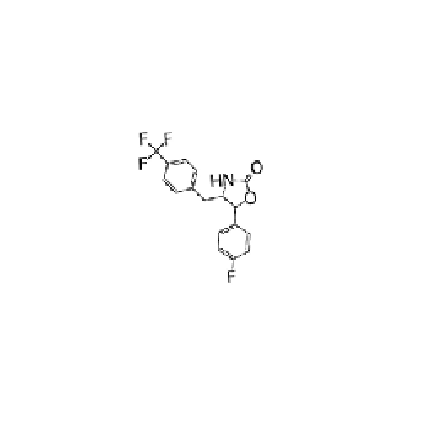 O=C1NC(Cc2ccc(C(F)(F)F)cc2)C(c2ccc(F)cc2)O1